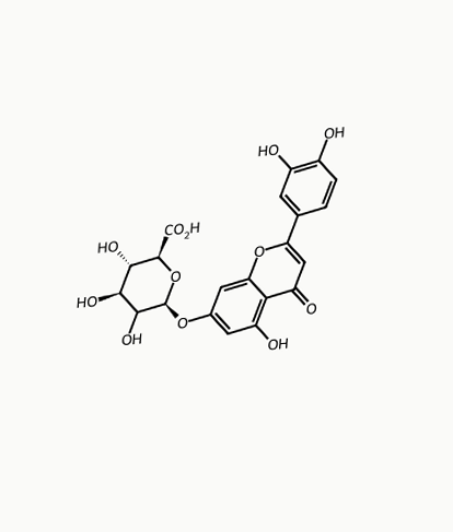 O=C(O)[C@H]1O[C@@H](Oc2cc(O)c3c(=O)cc(-c4ccc(O)c(O)c4)oc3c2)C(O)[C@@H](O)[C@@H]1O